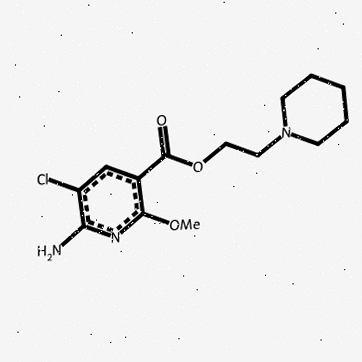 COc1nc(N)c(Cl)cc1C(=O)OCCN1CCCCC1